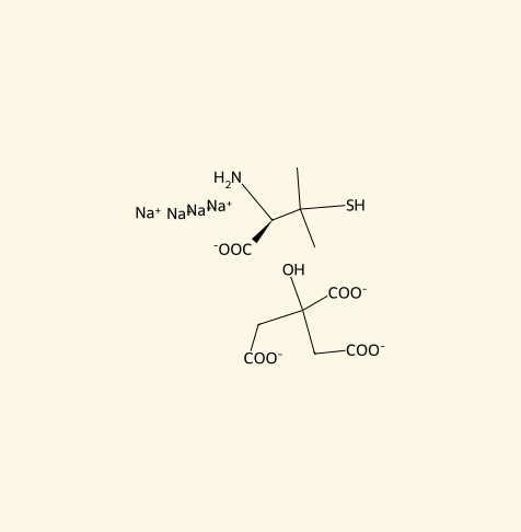 CC(C)(S)[C@H](N)C(=O)[O-].O=C([O-])CC(O)(CC(=O)[O-])C(=O)[O-].[Na+].[Na+].[Na+].[Na+]